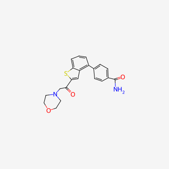 NC(=O)c1ccc(-c2cccc3sc(C(=O)CN4CCOCC4)cc23)cc1